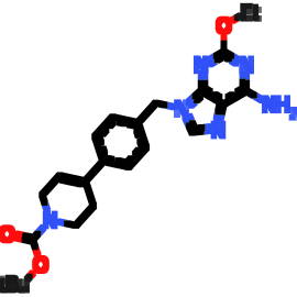 CCOc1nc(N)c2ncn(Cc3ccc(C4=CCN(C(=O)OC(C)(C)C)CC4)cc3)c2n1